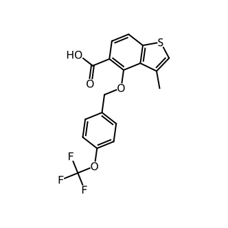 Cc1csc2ccc(C(=O)O)c(OCc3ccc(OC(F)(F)F)cc3)c12